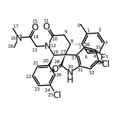 Cc1ccc(F)cc1[C@H]1CC(=O)N(CC(=O)N(C)C)[C@H](c2cccc(Cl)c2)[C@]12C(=O)Nc1cc(Cl)ccc12